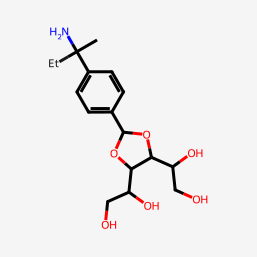 CCC(C)(N)c1ccc(C2OC(C(O)CO)C(C(O)CO)O2)cc1